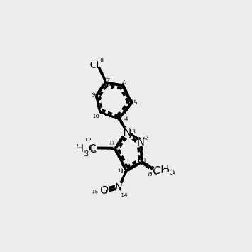 Cc1nn(-c2ccc(Cl)cc2)c(C)c1N=O